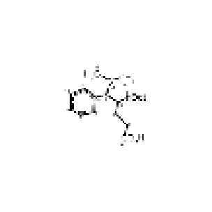 CCCCCCCCC(CCC(=O)O)C(c1ccccc1)N(C)C